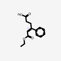 CCOC(=O)/C=C(/CCC(=O)O)c1ccccc1